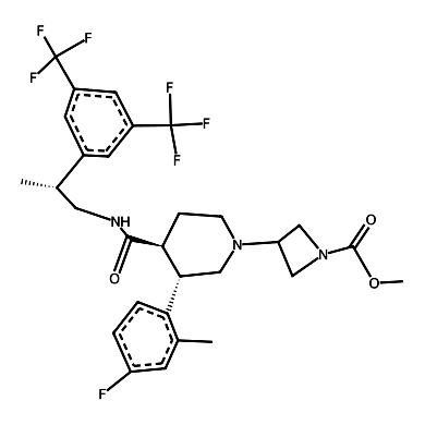 COC(=O)N1CC(N2CC[C@H](C(=O)NC[C@H](C)c3cc(C(F)(F)F)cc(C(F)(F)F)c3)[C@@H](c3ccc(F)cc3C)C2)C1